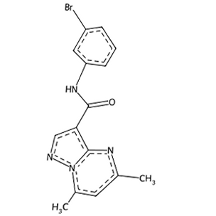 Cc1cc(C)n2ncc(C(=O)Nc3cccc(Br)c3)c2n1